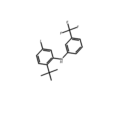 CC(C)(C)c1ccc(I)cc1Nc1cccc(C(F)(F)F)c1